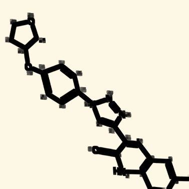 O=c1[nH]c2ccc(F)cc2cc1-c1cn(-c2ccc(OC3CCOC3)cc2)nn1